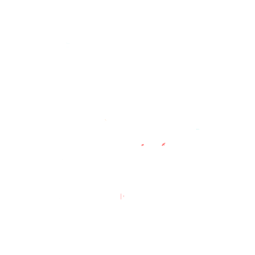 Oc1ccccc1-c1c(P(c2ccc(F)cc2)c2ccc(F)cc2)ccc2ccccc12